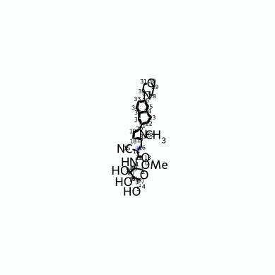 COC1O[C@H](CO)[C@@H](O)[C@H](O)[C@H]1NC(=O)/C(C#N)=C/c1ccc(-c2ccc3cc(N4CCOCC4)ccc3c2)n1C